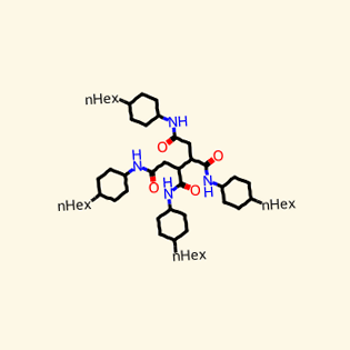 CCCCCCC1CCC(NC(=O)CC(C(=O)NC2CCC(CCCCCC)CC2)C(CC(=O)NC2CCC(CCCCCC)CC2)C(=O)NC2CCC(CCCCCC)CC2)CC1